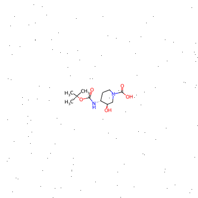 CC(C)(C)OC(=O)N[C@@H]1CCN(C(=O)O)C[C@H]1O